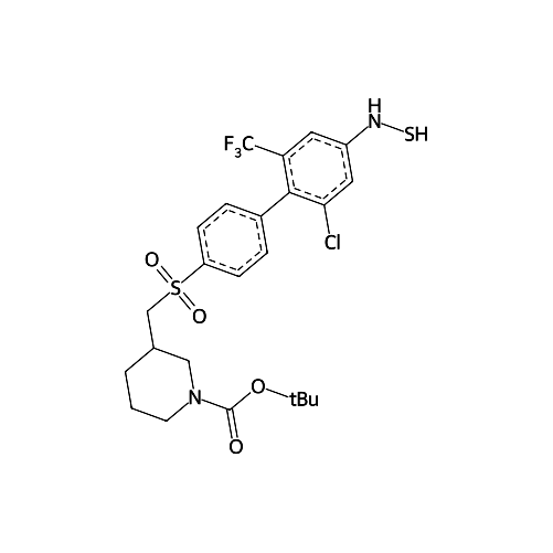 CC(C)(C)OC(=O)N1CCCC(CS(=O)(=O)c2ccc(-c3c(Cl)cc(NS)cc3C(F)(F)F)cc2)C1